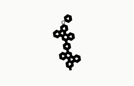 Cc1ccc2c(c1)c1ccccc1c1cc(-c3ccc(-c4cc5c6ccccc6c6cc(Oc7ccccc7)ccc6c5c5ccccc45)cc3)c3ccccc3c21